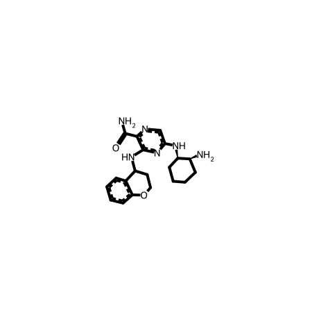 NC(=O)c1ncc(N[C@@H]2CCCC[C@@H]2N)nc1NC1CCOc2ccccc21